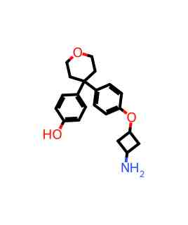 NC1CC(Oc2ccc(C3(c4ccc(O)cc4)CCOCC3)cc2)C1